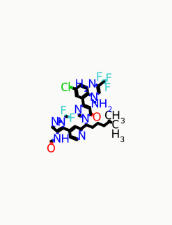 CC(C)CCCC(c1cc(-c2c(NC=O)cnn2C(F)F)ccn1)n1cnc(-c2cc(Cl)ccc2N(N)/C=C(\N)C(F)(F)F)cc1=O